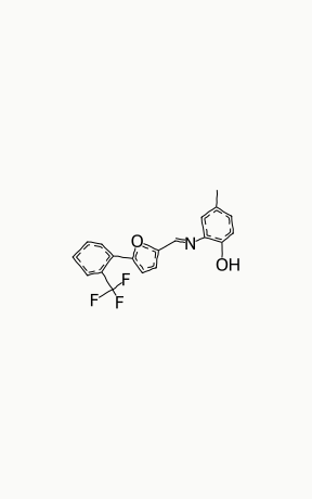 Cc1ccc(O)c(N=Cc2ccc(-c3ccccc3C(F)(F)F)o2)c1